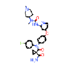 CN1CCC(N(C)C(=O)Nc2cc(Oc3ccc(N(C(=O)C4(C(N)=O)CC4)c4ccc(F)cc4)cc3)ccn2)CC1